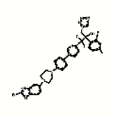 CC(C)c1nc2ccc(N3CCN(c4ccc(-c5ccc(C(F)(F)C(O)(Cn6cnnn6)c6ccc(F)cc6F)nc5)cc4)CC3)cc2[nH]1